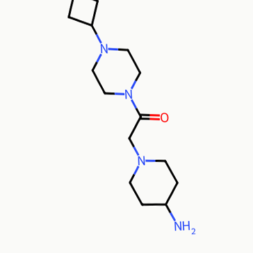 NC1CCN(CC(=O)N2CCN(C3CCC3)CC2)CC1